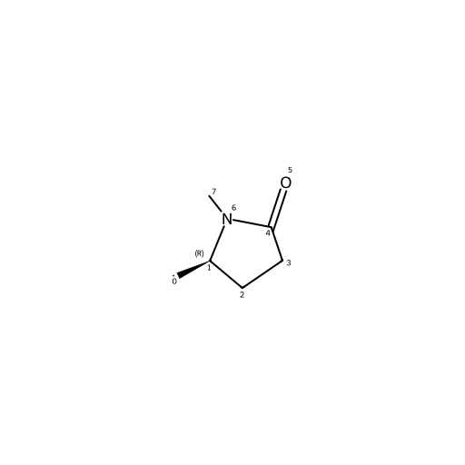 [CH2][C@@H]1CCC(=O)N1C